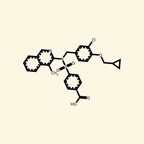 Cc1c(N(Cc2ccc(OCC3CC3)c(Cl)c2)S(=O)(=O)c2ccc(C(=O)O)cc2)ncc2ccccc12